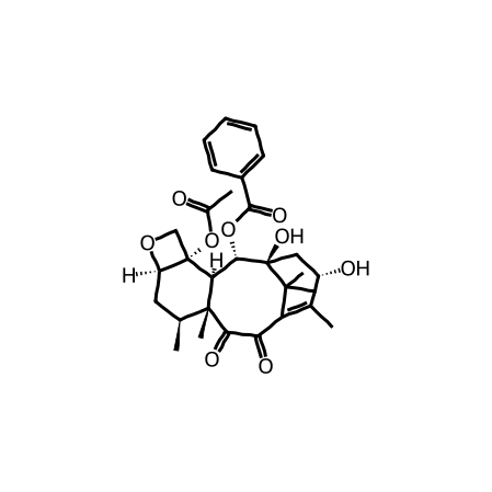 CC(=O)O[C@@]12CO[C@@H]1C[C@H](C)[C@@]1(C)C(=O)C(=O)C3=C(C)[C@@H](O)C[C@@](O)([C@@H](OC(=O)c4ccccc4)[C@H]21)C3(C)C